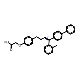 O=C(O)COc1ccc(SC/C=C(/c2ccc(-c3ccccc3)cc2)c2ccccc2I)cc1